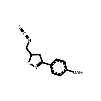 COc1ccc(C2=NOC(CN=C=S)C2)cc1